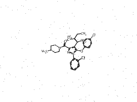 CCC(C)C(N)c1c(C(=O)N2CCC(C)CC2)nn(-c2ccccc2Cl)c1Oc1ccc(Cl)cc1